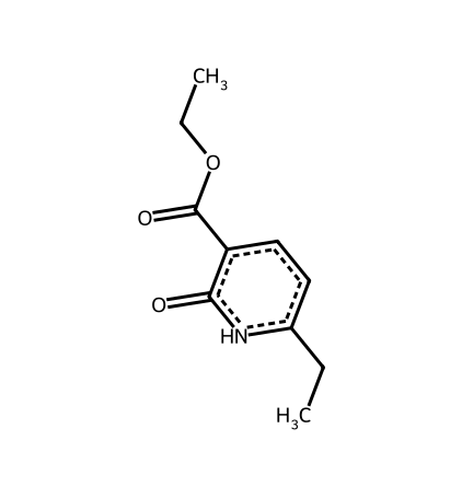 CCOC(=O)c1ccc(CC)[nH]c1=O